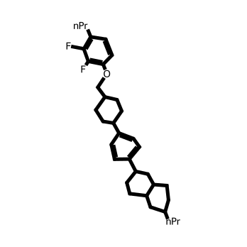 CCCc1ccc(OCC2CCC(c3ccc(C4CCC5CC(CCC)CCC5C4)cc3)CC2)c(F)c1F